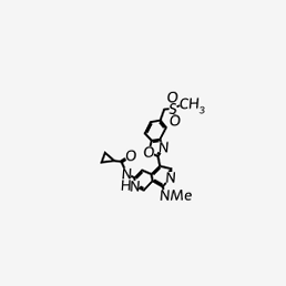 CNc1ncc(-c2nc3cc(CS(C)(=O)=O)ccc3o2)c2cc(NC(=O)C3CC3)ncc12